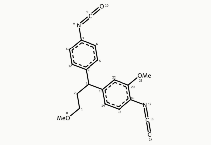 COCCC(c1ccc(N=C=O)cc1)c1ccc(N=C=O)c(OC)c1